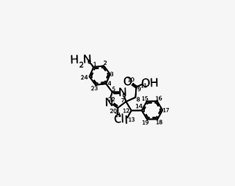 Nc1ccc(C2=NC(CC(=O)O)(C(I)c3ccccc3)C(Cl)=N2)cc1